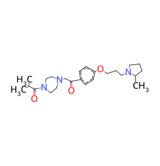 CC(C)C(=O)N1CCN(CC(=O)c2ccc(OCCCN3CCCC3C)cc2)CC1